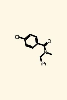 CC(C)CN(C)C(=O)c1ccc(Cl)cc1